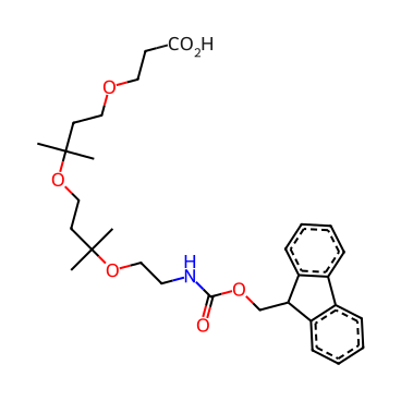 CC(C)(CCOCCC(=O)O)OCCC(C)(C)OCCNC(=O)OCC1c2ccccc2-c2ccccc21